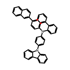 c1ccc(-c2ccccc2N(c2ccc(-c3ccc4ccccc4c3)cc2)c2ccc(-n3c4ccccc4c4ccccc43)cc2)cc1